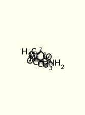 CC1=CC=C(S(N)(=O)=O)C(C)C1(C)[N+](=O)[O-]